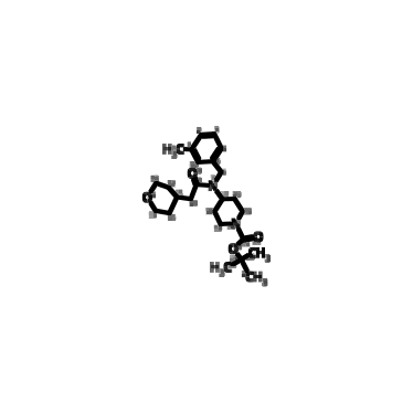 Cc1cccc(CN(C(=O)CC2CCOCC2)C2CCN(C(=O)OC(C)(C)C)CC2)c1